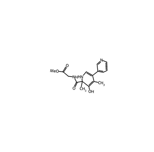 COC(=O)CNC(=O)C1(C)NC=C(c2cccnc2)C(C)=C1O